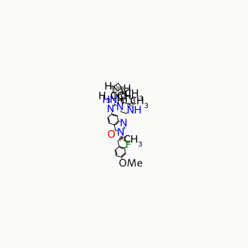 COc1ccc(C[C@@H](C)n2cnc3cc(N=C(N[C@H]4C[C@@H]5C[C@@H]([C@H]4C)C5(C)C)N4CCN[C@@H](C)C4)ccc3c2=O)c(F)c1